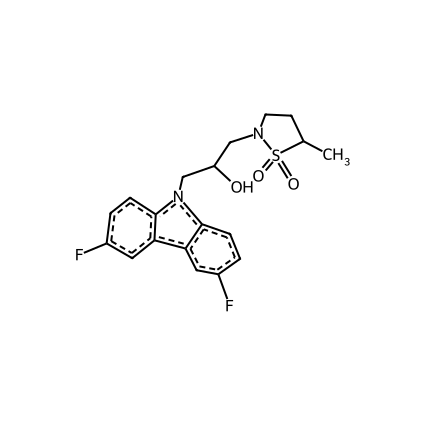 CC1CCN(CC(O)Cn2c3ccc(F)cc3c3cc(F)ccc32)S1(=O)=O